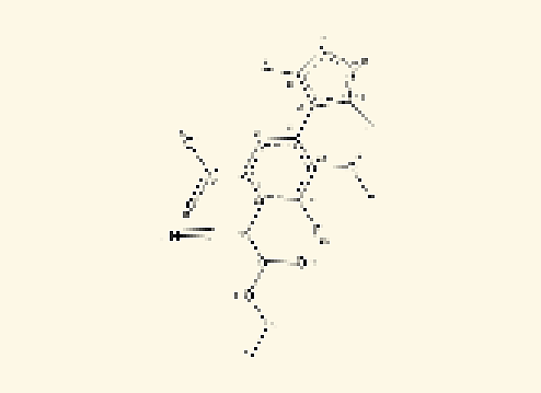 CCOC(=O)C(C#N)c1c([N+](=O)[O-])cc(-c2c(C)noc2C)c(OC)c1F